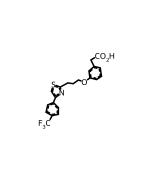 O=C(O)Cc1cccc(OCCCc2nc(-c3ccc(C(F)(F)F)cc3)cs2)c1